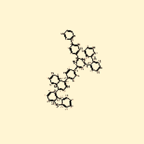 c1ccc(-c2ccc(-c3nc(-c4ccc(-c5ccc(-c6cccc7sc8ccccc8c67)c6ccccc56)cc4)nc(-c4ccccc4-c4ccccc4)n3)cc2)cc1